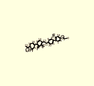 CCOc1ccc(-c2ccc(CCc3ccc(C4=CCC(C(C)O)CC4)c(F)c3F)cc2)c(F)c1